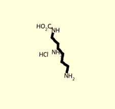 Cl.N.NCCCCCCNC(=O)O